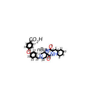 CCCCN1C(=O)C(CC2CCCCC2)NC(=O)C12CCN(Cc1ccc(Oc3ccc(C(=O)O)cc3)cc1)CC2